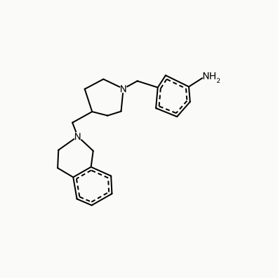 Nc1cccc(CN2CCC(CN3CCc4ccccc4C3)CC2)c1